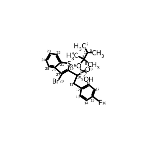 CC(C)C(C)(C)O[P@@](=O)(O)C(Cc1ccc(F)cc1)c1sc2ccccc2c1Br